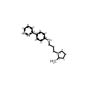 CC1CCCN1CCCOc1ccc(-c2cccnn2)cc1